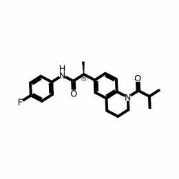 CC(C)C(=O)N1CCCc2cc([C@H](C)C(=O)Nc3ccc(F)cc3)ccc21